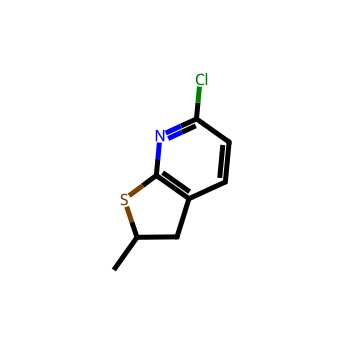 CC1Cc2ccc(Cl)nc2S1